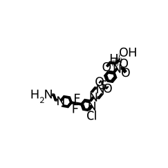 NCCN1CCC(C(F)(F)c2cc(Cl)nc(N3CCN(S(=O)(=O)c4ccc5c(c4)OC[C@@H]4[C@H](CO)OC(=O)N54)CC3)c2)CC1